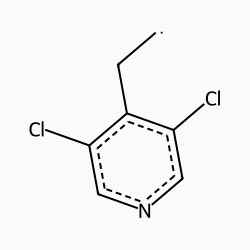 [CH2]Cc1c(Cl)cncc1Cl